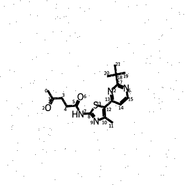 CC(=O)CCC(=O)Nc1nc(C)c(-c2ccnc(C(C)(C)C)n2)s1